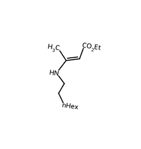 CCCCCCCCNC(C)=CC(=O)OCC